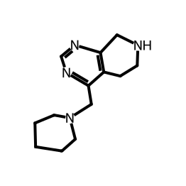 c1nc2c(c(CN3CCCCC3)n1)CCNC2